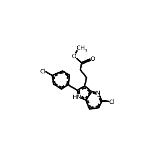 COC(=O)CCc1c(-c2ccc(Cl)cc2)[nH]c2ccc(Cl)nc12